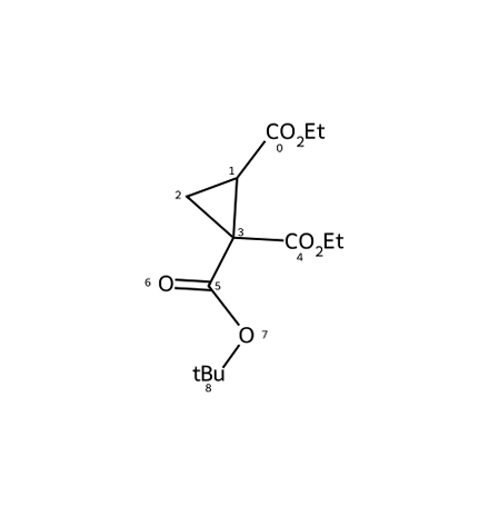 CCOC(=O)C1CC1(C(=O)OCC)C(=O)OC(C)(C)C